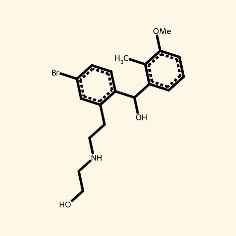 COc1cccc(C(O)c2ccc(Br)cc2CCNCCO)c1C